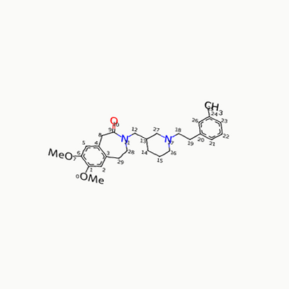 COc1cc2c(cc1OC)CC(=O)N(CC1CCCN(CCc3cccc(C)c3)C1)CC2